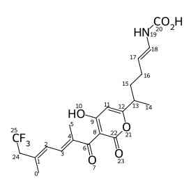 C/C(=C\C=C(/C)C(=O)c1c(O)cc(C(C)CC/C=C/NC(=O)O)oc1=O)CC(F)(F)F